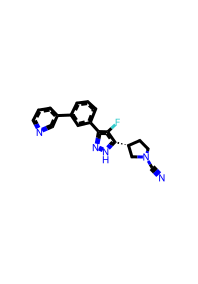 N#CN1CC[C@@H](c2[nH]nc(-c3cccc(-c4cccnc4)c3)c2F)C1